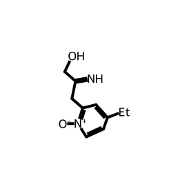 CCc1cc[n+]([O-])c(CC(=N)CO)c1